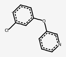 Clc1[c]ccc(Oc2cccnc2)c1